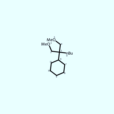 CCCCC(COC)(COC)C1CCCCC1